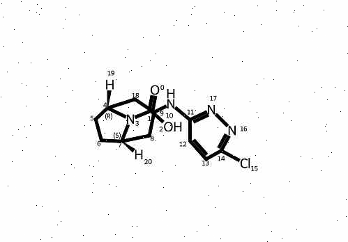 O=C(O)N1[C@@H]2CC[C@H]1CC(Nc1ccc(Cl)nn1)C2